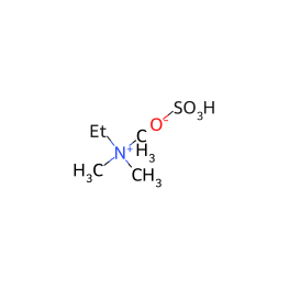 CC[N+](C)(C)C.O=S(=O)([O-])O